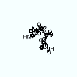 CNc1ccc(COC(=O)N(CC2Cc3ccccc3N2C)c2cc(OCc3cc(COc4cc5c(cc4OC)-c4ccccc4CC(NC=O)/C=N\5)cc(C(=O)OC)c3)c(OC)cc2C=O)cc1